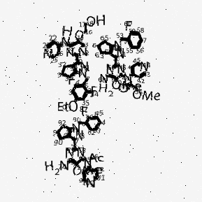 CCOc1cc(F)c(Cn2nc(-c3ncc(OCCO)c(Nc4ccncc4)n3)c3c2CCC3)c(F)c1.COCC(=O)N(c1ccncc1)c1nc(-c2nn(Cc3ccccc3F)c3c2CCC3)nc(N)c1OC.COc1c(N)nc(-c2nn(Cc3ccccc3F)c3c2CCC3)nc1N(C(C)=O)c1ccncc1